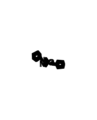 c1ccc(COc2cnn(-c3ccccc3)c2)cc1